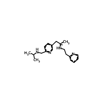 CC(C)NCc1ccc(C[C@@H](C)NCCc2ccccn2)cn1